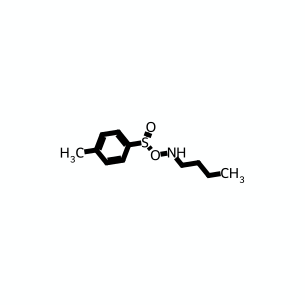 CCCCNOS(=O)c1ccc(C)cc1